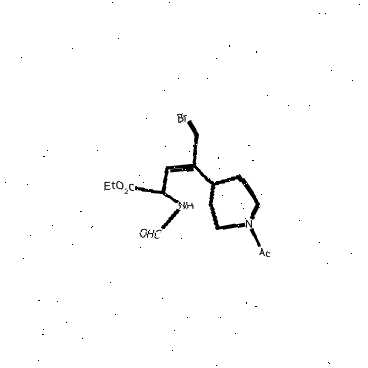 CCOC(=O)C(/C=C(/CBr)C1CCN(C(C)=O)CC1)NC=O